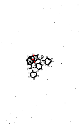 O=P(c1ccccc1)(c1ccccc1)c1cccc(P(=O)(c2ccccc2)c2ccccc2)c1-c1cccnc1